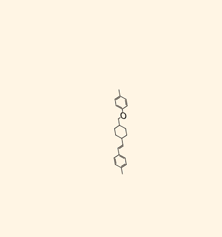 Cc1ccc(C=CC2CCC(COc3ccc(C)cc3)CC2)cc1